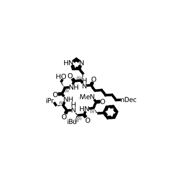 CCCCCCCCCCCCCCCC(=O)N[C@@H](Cc1c[nH]cn1)C(=O)N[C@@H](CO)C(=O)N[C@@H](CC(C)C)C(=O)N[C@H](C(=O)N[C@@H](Cc1ccccc1)C(=O)NC)[C@@H](C)CC